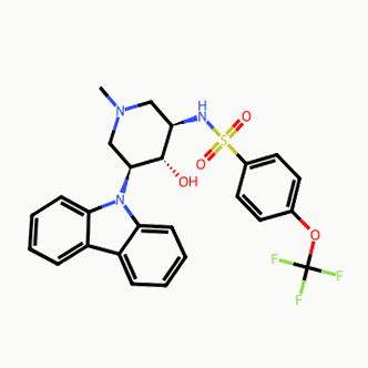 CN1C[C@@H](NS(=O)(=O)c2ccc(OC(F)(F)F)cc2)[C@H](O)[C@@H](n2c3ccccc3c3ccccc32)C1